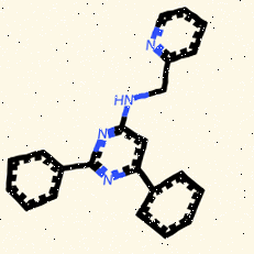 c1ccc(-c2cc(NCc3ccccn3)nc(-c3ccccc3)n2)cc1